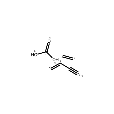 C=C.C=CC#N.O=C(O)O